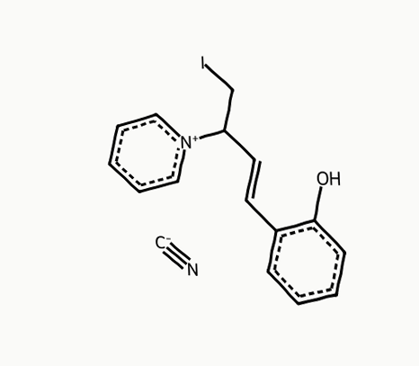 Oc1ccccc1C=CC(CI)[n+]1ccccc1.[C-]#N